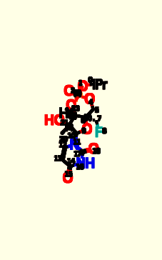 CC(C)O[P@]1(=O)OC[C@@]2(CF)OC(n3ccc(=O)[nH]c3=O)[C@](C)(O)[C@@H]2O1